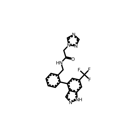 O=C(Cn1cncn1)NCc1ccccc1-c1cc(C(F)(F)F)cc2[nH]ncc12